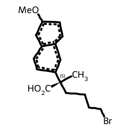 COc1ccc2cc([C@](C)(CCCCBr)C(=O)O)ccc2c1